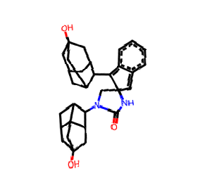 O=C1NC2(C=c3ccccc3=C2C2C3CC4CC2CC(O)(C4)C3)CN1C1C2CC3CC1CC(O)(C3)C2